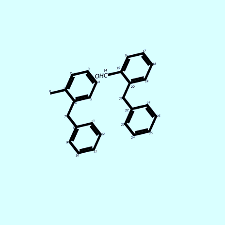 Cc1ccccc1Cc1ccccc1.O=Cc1ccccc1Cc1ccccc1